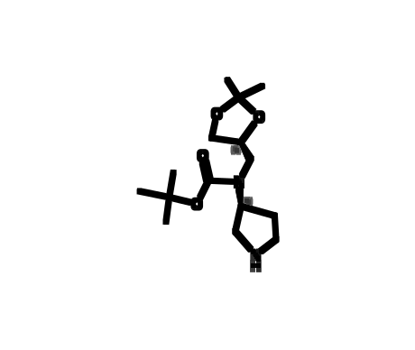 CC(C)(C)OC(=O)N(C[C@H]1COC(C)(C)O1)[C@H]1CCNC1